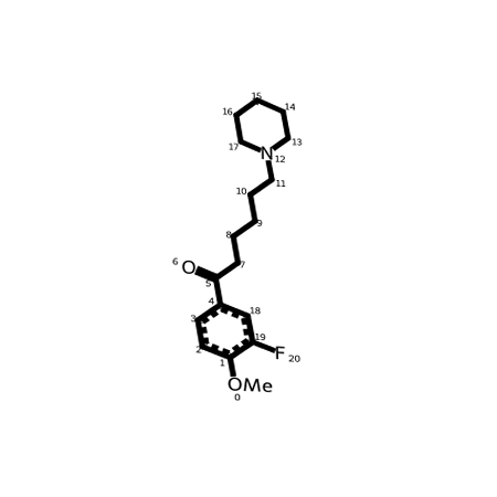 COc1ccc(C(=O)CCCCCN2CC[CH]CC2)cc1F